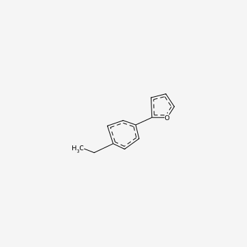 CCc1ccc(-c2ccco2)cc1